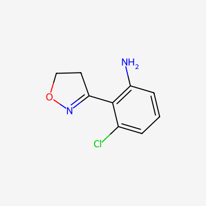 Nc1cccc(Cl)c1C1=NOCC1